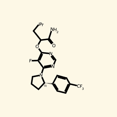 CC(C)CC(Oc1ncnc(N2CCC[C@H]2c2ccc(C(F)(F)F)cc2)c1F)C(N)=O